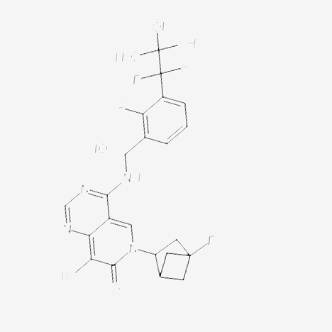 CC(C)(O)C(F)(F)c1cccc([C@@H](O)Nc2ncnc3c(Br)c(=O)n(C4CC5(F)CC4C5)cc23)c1F